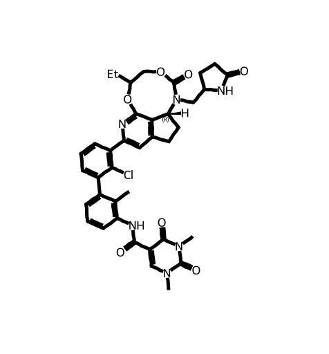 CCC1COC(=O)N(CC2CCC(=O)N2)[C@@H]2CCc3cc(-c4cccc(-c5cccc(NC(=O)c6cn(C)c(=O)n(C)c6=O)c5C)c4Cl)nc(c32)O1